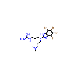 CN(C)CCCN(CCCNC(=N)N)c1nc2c(Br)c(Br)c(Br)c(Br)c2[nH]1